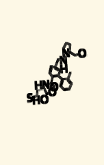 COCC1CCCN1NCc1ccc(C(=O)N[C@@H](CCSC)C(=O)O)c(-c2ccccc2C)c1